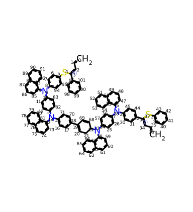 C=C/C=C(\Sc1ccc(N(c2ccc(N(c3ccc(C4=CCC(N(c5ccc(N(c6ccc(/C(=C/C=C)Sc7ccccc7)cc6)c6cccc7ccccc67)cc5)c5cccc6ccccc56)C=C4)cc3)c3cccc4ccccc34)cc2)c2cccc3ccccc23)cc1)c1ccccc1